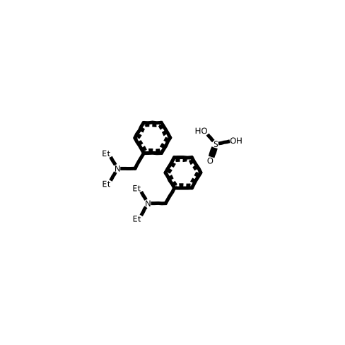 CCN(CC)Cc1ccccc1.CCN(CC)Cc1ccccc1.O=S(O)O